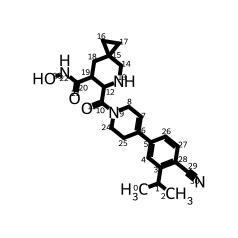 CC(C)c1cc(C2=CCN(C(=O)C3NCC4(CC4)CC3C(=O)NO)CC2)ccc1C#N